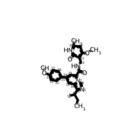 CCC(I)c1ncn2c(C(=O)NCc3c(OC)cc(C)[nH]c3=O)cc(-c3ccc(OC)cc3)cc12